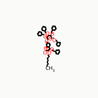 CCCCCCCCOc1c(OCc2ccccc2)c2ccc(O[C@H]3O[C@H](COCc4ccccc4)[C@@H](OCc4ccccc4)[C@H](OCc4ccccc4)[C@@H]3OCc3ccccc3)cc2oc1=O